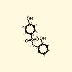 O=S(=O)(Nc1ccccc1O)c1ccc(O)cc1